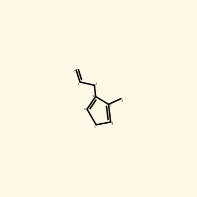 C=CCC1=CC[C]=C1C